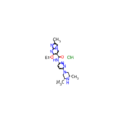 CCOc1nc2nc(C)cn2cc1C(=O)Nc1ccc(N2C[C@@H](C)N[C@@H](C)C2)nn1.Cl